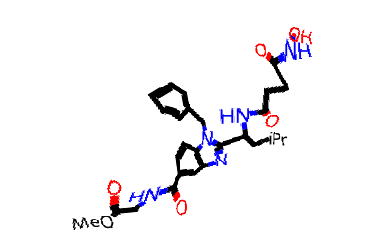 COC(=O)CNC(=O)c1ccc2c(c1)nc(C(CC(C)C)NC(=O)CCC(=O)NO)n2Cc1ccccc1